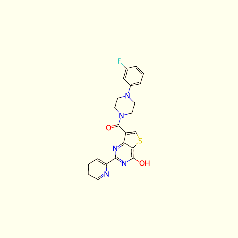 O=C(c1csc2c(O)nc(C3=CCCC=N3)nc12)N1CCN(c2cccc(F)c2)CC1